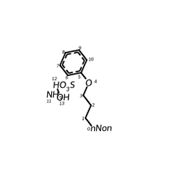 CCCCCCCCCCCCOc1ccccc1.N.O=S(=O)(O)O